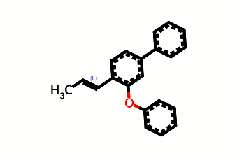 C/C=C/c1ccc(-c2ccccc2)cc1Oc1ccccc1